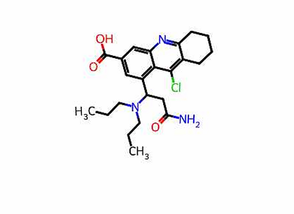 CCCN(CCC)C(CC(N)=O)c1cc(C(=O)O)cc2nc3c(c(Cl)c12)CCCC3